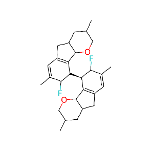 CC1=CC2=C(C3OCC(C)CC3C2)C([C@@H]2C3=C(C=C(C)C2F)CC2CC(C)COC32)C1F